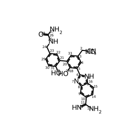 Cl.N#CCc1cc(-c2nc3cc(C(=N)N)ccc3[nH]2)c(O)c(-c2cc(CNC(N)=O)ccc2O)c1